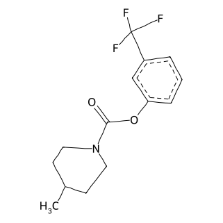 CC1CCN(C(=O)Oc2cccc(C(F)(F)F)c2)CC1